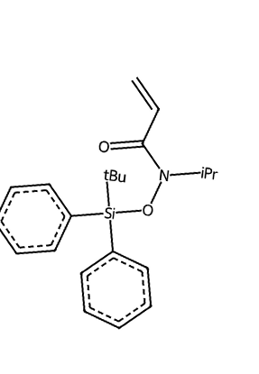 C=CC(=O)N(O[Si](c1ccccc1)(c1ccccc1)C(C)(C)C)C(C)C